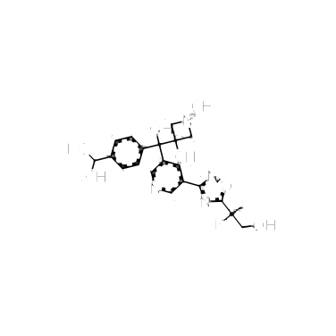 CC(C)c1ccc(C(O)(c2cncc(-c3noc(C(F)(F)CO)n3)c2)C2(C)CN(C)C2)cc1